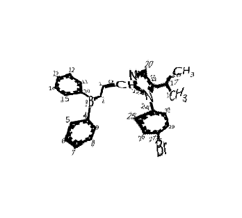 C=CCB(c1ccccc1)c1ccccc1.CC(C)c1cncn1-c1ccc(Br)cc1